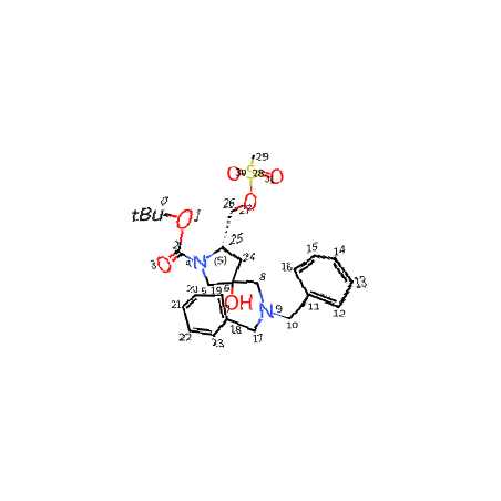 CC(C)(C)OC(=O)N1CC(O)(CN(Cc2ccccc2)Cc2ccccc2)C[C@H]1COS(C)(=O)=O